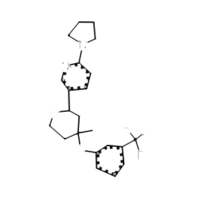 CC1(Sc2cccc(C(F)(F)F)c2)CCOC(c2ccc(N3CCCC3)nc2)C1